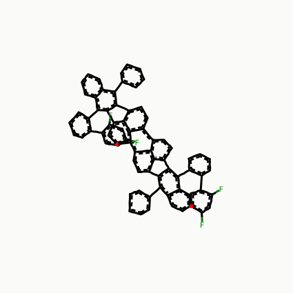 Fc1ccc(-c2ccccc2-c2c3c(c(-c4ccccc4)c4ccccc24)-c2ccc4c5ccc6c7c(ccc(c8ccc-3c2c48)c75)-c2c-6c(-c3ccccc3-c3ccc(F)cc3F)c3ccccc3c2-c2ccccc2)c(F)c1